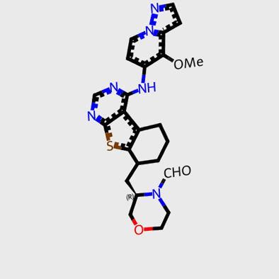 COc1c(Nc2ncnc3sc4c(c23)CCCC4C[C@@H]2COCCN2C=O)ccn2nccc12